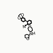 N#Cc1c(-c2ccc3c(c2)OCCO3)cccc1N1CCC(NC2CCCOC2)CC1